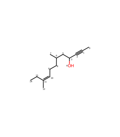 CC#CC(O)CC(C)CCC=C(C)CC